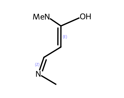 C/N=C\C=C(\O)NC